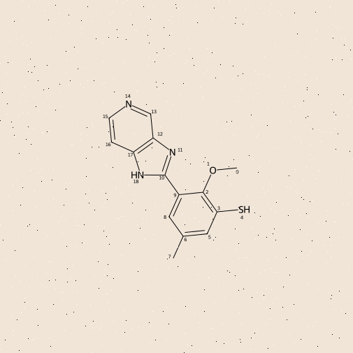 COc1c(S)cc(C)cc1-c1nc2cnccc2[nH]1